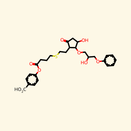 O=C(CCCSCCC1C(=O)CC(O)C1OCC(O)COc1ccccc1)Oc1ccc(C(=O)O)cc1